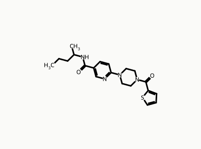 CCCC(C)NC(=O)c1ccc(N2CCN(C(=O)c3cccs3)CC2)nc1